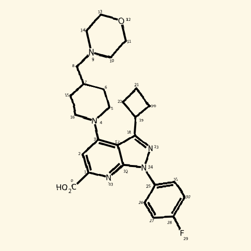 O=C(O)c1cc(N2CCC(CN3CCOCC3)CC2)c2c(C3CCC3)nn(-c3ccc(F)cc3)c2n1